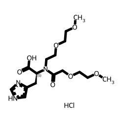 COCCOCCN(C(=O)COCCOC)[C@@H](Cc1c[nH]cn1)C(=O)O.Cl